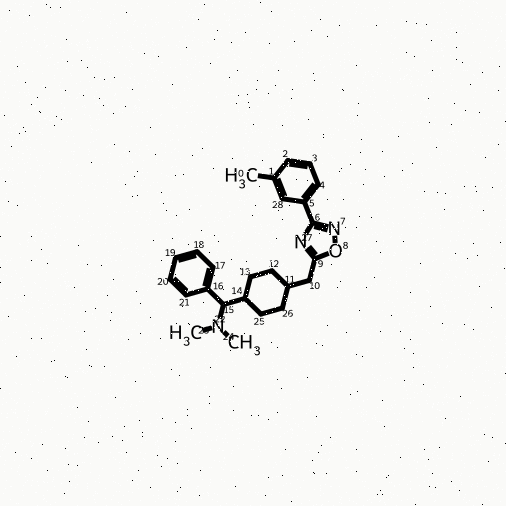 Cc1cccc(-c2noc(CC3CCC(C(c4ccccc4)N(C)C)CC3)n2)c1